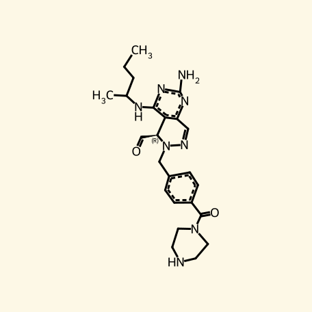 CCCC(C)Nc1nc(N)nc2c1[C@H](C=O)N(Cc1ccc(C(=O)N3CCNCC3)cc1)N=C2